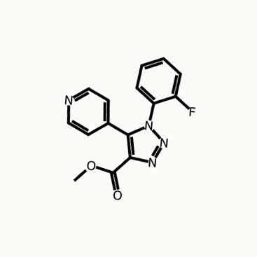 COC(=O)c1nnn(-c2ccccc2F)c1-c1ccncc1